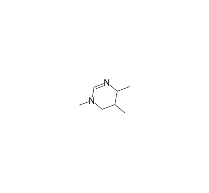 CC1CN(C)C=NC1C